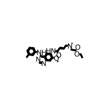 CCOC(=O)CN(C)CC=CC(=O)Nc1cc2c(Nc3cccc(C)c3)ncnc2cc1OC